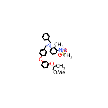 COCC(C)Oc1cccc(Oc2ccc(CN(Cc3ccccc3)c3cccc(NS(C)(=O)=O)c3C)cc2)c1